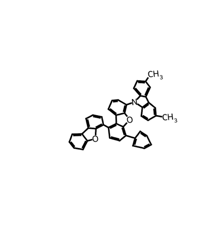 Cc1ccc2c(c1)c1cc(C)ccc1n2-c1cccc2c1oc1c(-c3ccccc3)ccc(-c3cccc4c3oc3ccccc34)c12